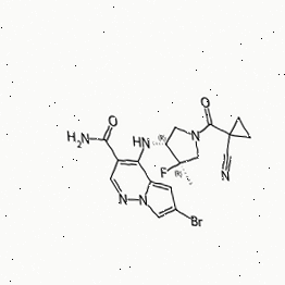 C[C@@]1(F)CN(C(=O)C2(C#N)CC2)C[C@H]1Nc1c(C(N)=O)cnn2cc(Br)cc12